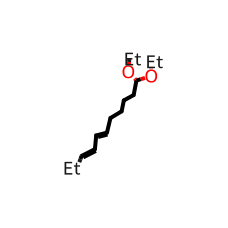 CCC=CC=CCCCCC(OCC)OCC